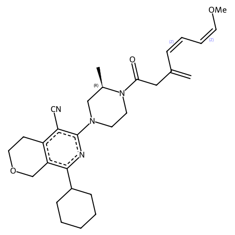 C=C(/C=C\C=C/OC)CC(=O)N1CCN(c2nc(C3CCCCC3)c3c(c2C#N)CCOC3)C[C@H]1C